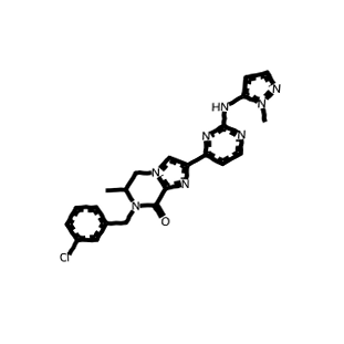 CC1Cn2cc(-c3ccnc(Nc4ccnn4C)n3)nc2C(=O)N1Cc1cccc(Cl)c1